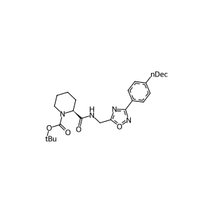 CCCCCCCCCCc1ccc(-c2noc(CNC(=O)[C@@H]3CCCCN3C(=O)OC(C)(C)C)n2)cc1